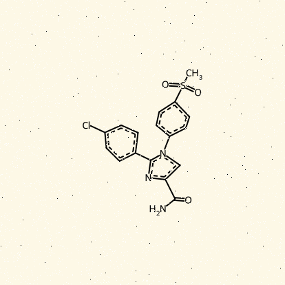 CS(=O)(=O)c1ccc(-n2cc(C(N)=O)nc2-c2ccc(Cl)cc2)cc1